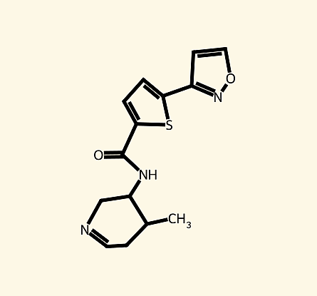 CC1CC=NCC1NC(=O)c1ccc(-c2ccon2)s1